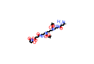 C[C@@H](N)CCC(=O)NCCCN(CCCCN(CCCNC(=O)CCC(=O)ON1C(=O)CCC1=O)C(=O)OC(C)(C)C)C(=O)OC(C)(C)C